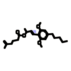 C=C(C)CCCC(=O)OC(C)/C=C/c1c(OC)cc(CCCCC)cc1OC